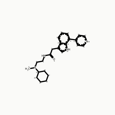 CN(CCNC(=O)Cc1c[nH]c2c(-c3ccncc3)cccc12)C1CCCCC1